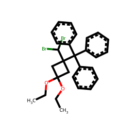 CCOC1(OCC)CC(C(Br)Br)(C(c2ccccc2)(c2ccccc2)c2ccccc2)C1